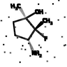 C[C@@]1(O)CC[C@@H](N)[C@@]1(C)F